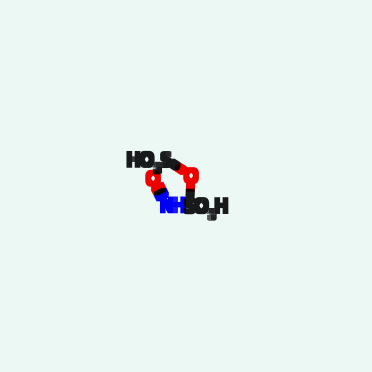 N=O.O=S(=O)(O)OS(=O)(=O)O